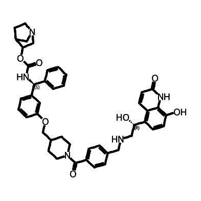 O=C(N[C@@H](c1ccccc1)c1cccc(OCC2CCN(C(=O)c3ccc(CNC[C@H](O)c4ccc(O)c5[nH]c(=O)ccc45)cc3)CC2)c1)OC1CN2CCC1C2